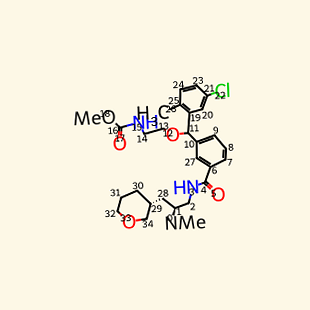 CN[C@H](CNC(=O)c1cccc(C(OCCNC(=O)OC)c2cc(Cl)ccc2C)c1)C[C@H]1CCCOC1